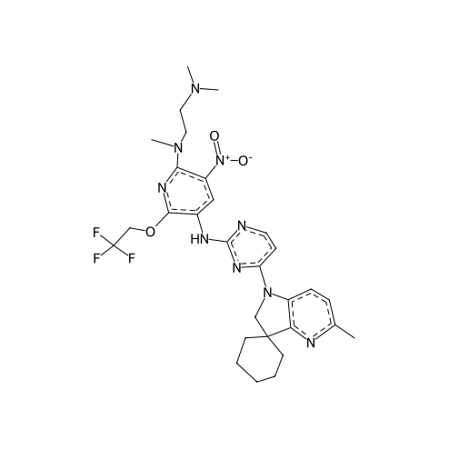 Cc1ccc2c(n1)C1(CCCCC1)CN2c1ccnc(Nc2cc([N+](=O)[O-])c(N(C)CCN(C)C)nc2OCC(F)(F)F)n1